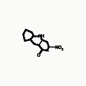 O=c1[c]c([N+](=O)[O-])cc2[nH]c3ccccc3cc1-2